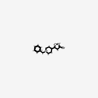 BrC1=NOC(C2CCN(Cc3ccccc3)CC2)C1